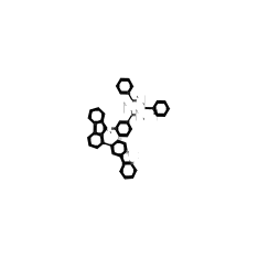 c1ccc(C2=NC(c3cccc(-n4c5ccccc5c5cccc(-c6ccc7oc8ccccc8c7c6)c54)c3)NC(c3ccccc3)=N2)cc1